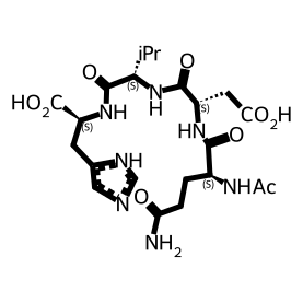 CC(=O)N[C@@H](CCC(N)=O)C(=O)N[C@@H](CC(=O)O)C(=O)N[C@H](C(=O)N[C@@H](Cc1cnc[nH]1)C(=O)O)C(C)C